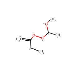 C=C(CC)OOC(C)OC